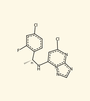 C[C@@H](Nc1cc(Cl)nc2ncnn12)c1ccc(Cl)cc1F